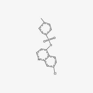 Cc1ccc(S(=O)(=O)Oc2ccnc3cc(Cl)ccc23)cc1